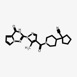 Cc1c(C(=O)N2CCC(C3(C#N)CCCC3)CC2)cnn1-c1nn2cccc2c(=O)[nH]1